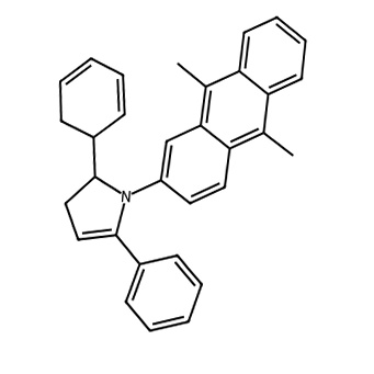 Cc1c2ccccc2c(C)c2cc(N3C(c4ccccc4)=CCC3C3C=CC=CC3)ccc12